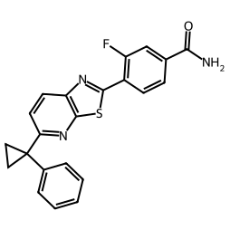 NC(=O)c1ccc(-c2nc3ccc(C4(c5ccccc5)CC4)nc3s2)c(F)c1